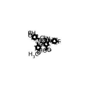 COc1ccc(CN(Cc2ccc(OC)cc2)S(=O)(=O)c2cc(C(=O)O)cc3c2c(Cl)nn3-c2ccc(F)cc2)cc1